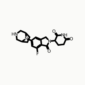 O=C1CCC(N2Cc3cc(N4C5CCC4CNC5)cc(F)c3C2=O)C(=O)N1